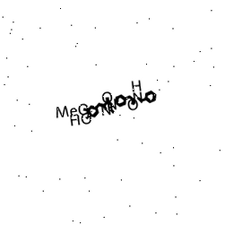 COc1cc(/C=C2\N=C(C)N(c3ccc(CC(=O)NCc4ccccc4)cc3)C2=O)ccc1O